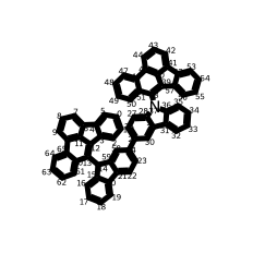 c1ccc2c(c1)-c1cccc3c1c-2c(C1c2ccccc2-c2ccc(-c4ccc5c(c4)c4ccccc4n5-c4c5c6c(cccc6c6ccccc46)-c4ccccc4-5)cc21)c1ccccc13